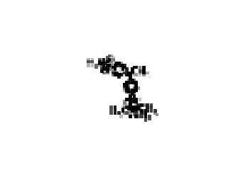 CC(c1ccc(B2OC(C)(C)C(C)(C)O2)cc1)N1CCN(S(C)(=O)=O)CC1